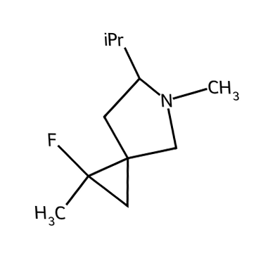 CC(C)C1CC2(CN1C)CC2(C)F